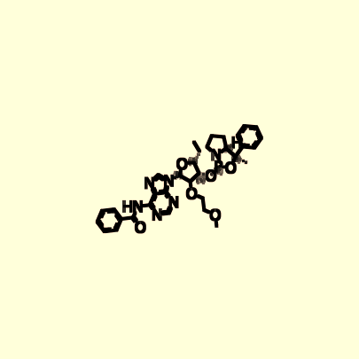 CC[C@H]1O[C@@H](n2cnc3c(NC(=O)c4ccccc4)ncnc32)C(OCCOC)[C@H]1O[P@@]1O[C@](C)(c2ccccc2)[C@@H]2CCCN21